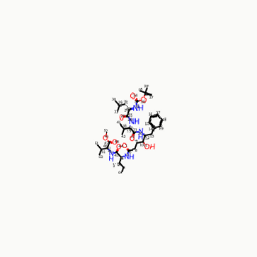 CC[C@H](C)[C@H](NC(=O)CCC(O)C(Cc1ccccc1)NC(=O)[C@@H](NC(=O)[C@H](CC(C)C)NC(=O)OC(C)(C)C)C(C)C)C(=O)N[C@H](C(=O)OC)C(C)C